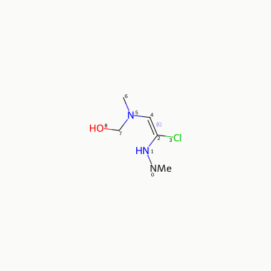 CNN/C(Cl)=C\N(C)CO